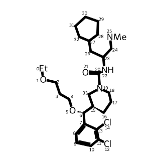 CCOCCCO[C@@H](c1cccc(Cl)c1Cl)[C@@H]1CCCN(C(=O)NC(CNC)CC2CCCCC2)C1